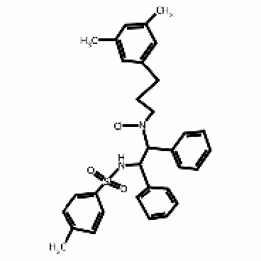 Cc1ccc(S(=O)(=O)NC(c2ccccc2)C(c2ccccc2)N(Cl)CCCc2cc(C)cc(C)c2)cc1